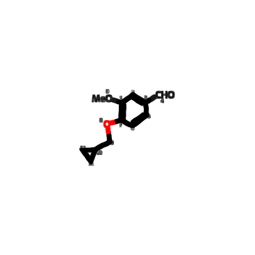 COc1cc(C=O)ccc1OCC1CC1